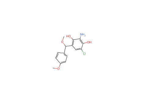 COc1ccc(C(OC)c2cc(Cl)c(O)c(N)c2O)cc1